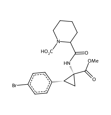 COC(=O)[C@@]1(NC(=O)C2CCCCN2C(=O)O)C[C@@H]1c1ccc(Br)cc1